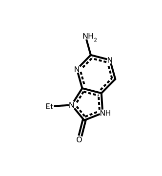 CCn1c(=O)[nH]c2cnc(N)nc21